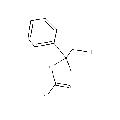 CC(CCl)(OC(N)=O)c1ccccc1